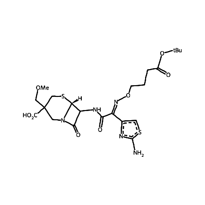 COCC1(C(=O)O)CS[C@@H]2C(NC(=O)C(=NOCCCC(=O)OC(C)(C)C)c3csc(N)n3)C(=O)N2C1